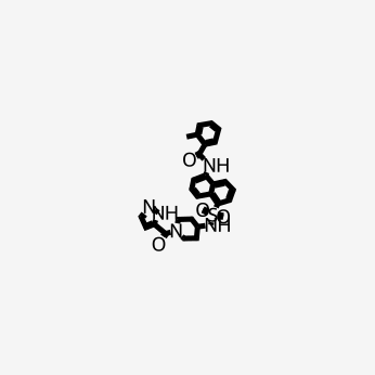 Cc1ccccc1C(=O)Nc1cccc2c(S(=O)(=O)NC3CCN(C(=O)c4ccn[nH]4)CC3)cccc12